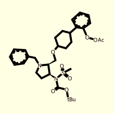 CC(=O)OOc1ccccc1C1CCC(OC[C@H]2[C@@H](N(C(=O)OC(C)(C)C)S(C)(=O)=O)CCN2Cc2ccccc2)CC1